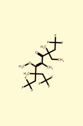 CCC(C)(CC(F)(F)F)C(=O)/C(C)=C(\OC)C(C)(CC(F)(F)F)CC(F)(F)F